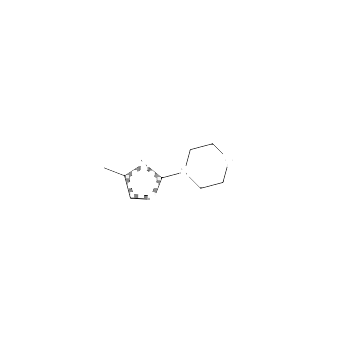 Cc1coc(N2CCOC[C@H]2C)n1